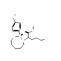 CCCCC(C(=O)NO)N1CCCCCOP1(=O)c1ccc(OC)cc1